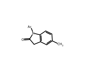 CC(=O)N1C(=O)Cc2cc(C)ccc21